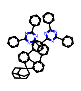 c1ccc(-c2nc(-c3ccccc3)nc(-c3ccc(-c4cccc5c4-c4c(-c6cccc(-c7nc(-c8ccccc8)nc(-c8ccccc8)n7)c6)cccc4C54C5CC6CC(C5)CC4C6)cc3)n2)cc1